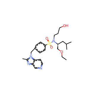 CCOC[C@H](CC(C)C)N(CCCO)S(=O)(=O)c1ccc(Cn2c(C)nc3cnccc32)cc1